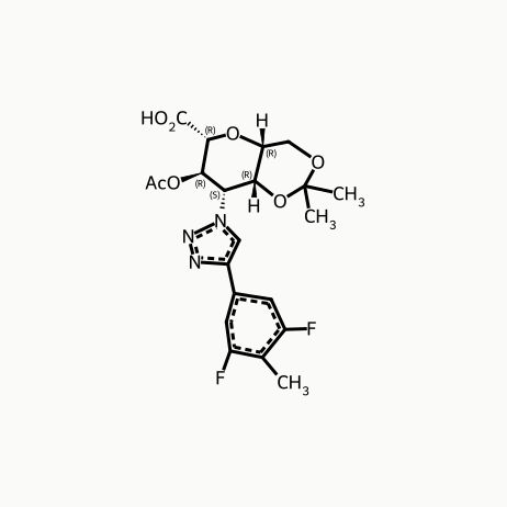 CC(=O)O[C@@H]1[C@@H](n2cc(-c3cc(F)c(C)c(F)c3)nn2)[C@H]2OC(C)(C)OC[C@H]2O[C@H]1C(=O)O